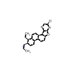 C=Cc1c(/C=C\C)ccc2c1ccc1c2ccc2oc3nc(Cl)cnc3c21